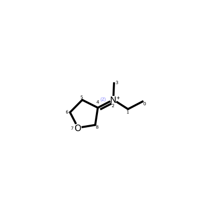 CC/[N+](C)=C1/CCOC1